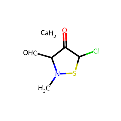 CN1SC(Cl)C(=O)C1C=O.[CaH2]